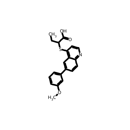 CCC(Sc1ccnc2ccc(-c3cccc(OC)c3)cc12)C(=O)O